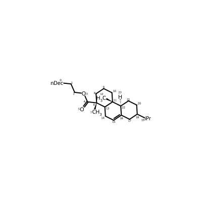 CCCCCCCCCCCCOC(=O)[C@]1(C)CCC[C@@]2(C)C1CC=C1CC(C(C)C)CC[C@@H]12